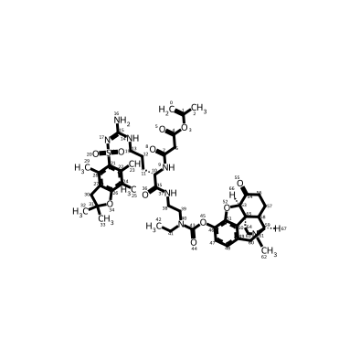 C=C(C)OC(=O)CC(=O)N[C@@H](CCCN/C(N)=N\S(=O)(=O)c1c(C)c(C)c2c(c1C)CC(C)(C)O2)C(=O)NCCN(CC)C(=O)Oc1ccc2c3c1O[C@H]1C(=O)CCC4[C@@H](C2)N(C)CC[C@@]341